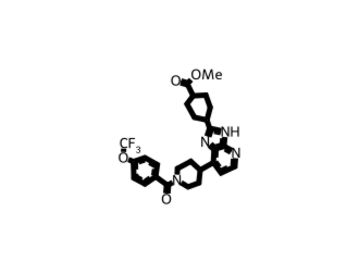 COC(=O)C1CCC(c2nc3c(C4CCN(C(=O)c5ccc(OC(F)(F)F)cc5)CC4)ccnc3[nH]2)CC1